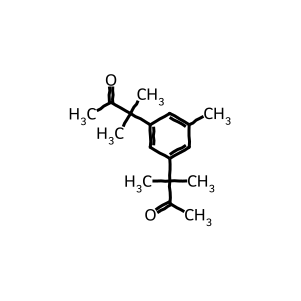 CC(=O)C(C)(C)c1cc(C)cc(C(C)(C)C(C)=O)c1